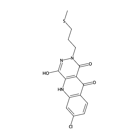 CSCCCn1nc(O)c2[nH]c3cc(Cl)ccc3c(=O)c2c1=O